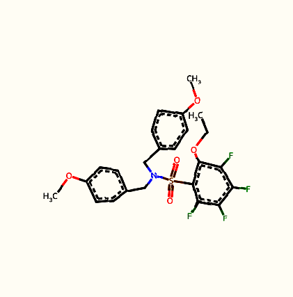 CCOc1c(F)c(F)c(F)c(F)c1S(=O)(=O)N(Cc1ccc(OC)cc1)Cc1ccc(OC)cc1